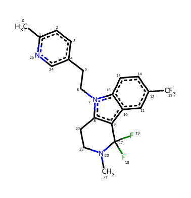 Cc1ccc(CCn2c3c(c4cc(C(F)(F)F)ccc42)C(F)(F)N(C)CC3)cn1